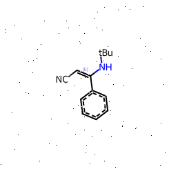 CC(C)(C)N/C(=C/C#N)c1ccccc1